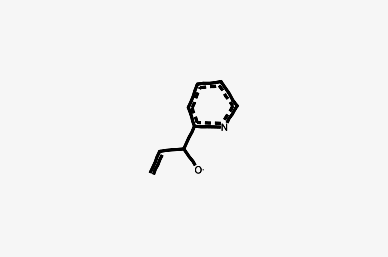 C=CC([O])c1ccccn1